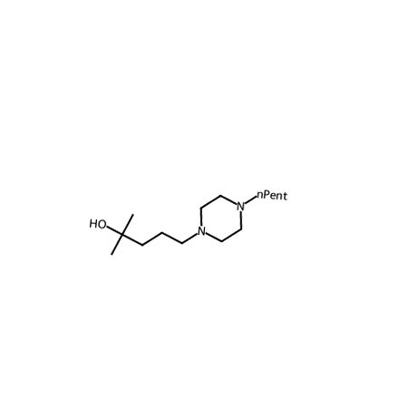 CCCCCN1CCN(CCCC(C)(C)O)CC1